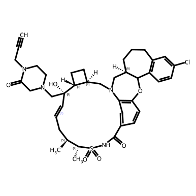 C#CCN1CCN(C[C@]2(O)/C=C/C[C@H](C)[C@@H](C)S(=O)(=O)NC(=O)c3ccc4c(c3)N(C[C@H]3CCCc5cc(Cl)ccc5C3O4)C[C@@H]3CC[C@H]32)CC1=O